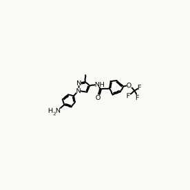 Cc1nn(-c2ccc(N)cc2)cc1NC(=O)c1ccc(OC(F)(F)F)cc1